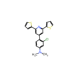 CN(C)c1ccc(-c2cc(-c3cccs3)nc(-c3cccs3)c2)c(Cl)c1